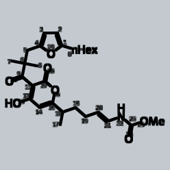 CCCCCCc1ccc(CC(C)(C)C(=O)c2c(O)cc(C(C)CC/C=C/NC(=O)OC)oc2=O)o1